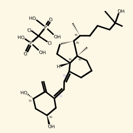 C=C1/C(=C\C=C2/CCC[C@]3(C)[C@@H]([C@H](C)CCCC(C)(C)O)CC[C@@H]23)C[C@@H](O)C[C@@H]1O.O=P(O)(O)C(Cl)(Cl)P(=O)(O)O